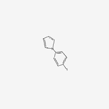 Ic1ccc(-n2cccc2)cc1